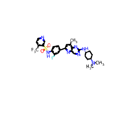 Cc1cc(-c2ccc(NS(=O)(=O)c3cnccc3C(F)(F)F)c(F)c2)nc2cnc(N[C@H]3CC[C@H](N(C)C)CC3)nc12